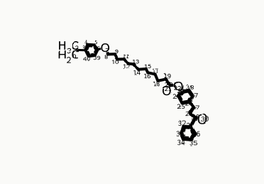 C=C(C)c1ccc(OCCCCCCCCCCCCC(=O)Oc2ccc(C=CC(=O)c3ccccc3)cc2)cc1